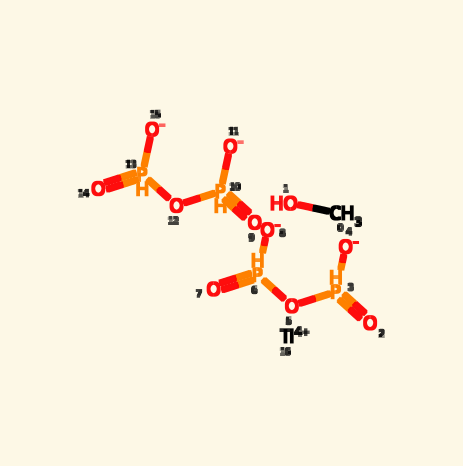 CO.O=[PH]([O-])O[PH](=O)[O-].O=[PH]([O-])O[PH](=O)[O-].[Ti+4]